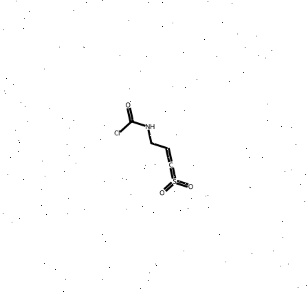 O=C(Cl)NCC=C=S(=O)=O